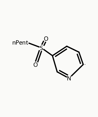 CCCCCS(=O)(=O)c1cc[c]nc1